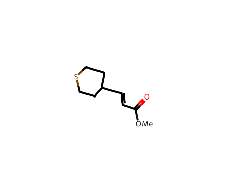 COC(=O)C=CC1CCSCC1